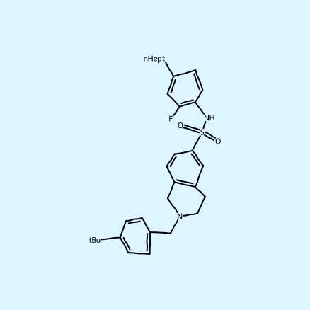 CCCCCCCc1ccc(NS(=O)(=O)c2ccc3c(c2)CCN(Cc2ccc(C(C)(C)C)cc2)C3)c(F)c1